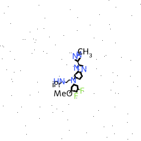 COc1cc(N(CCNC(C)C)c2ccc3ncc(-c4cnn(C)c4)nc3c2)cc(F)c1F